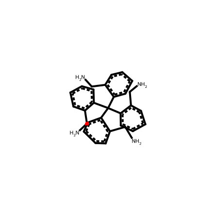 NCc1ccccc1C(c1ccccc1CN)(c1ccccc1CN)c1ccccc1CN